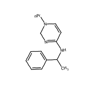 CCCN1C=CC(NC(C)c2ccccc2)=NC1